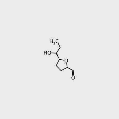 CCC(O)[C@@H]1CCC(C=O)O1